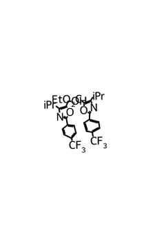 CC(C)c1nc(-c2ccc(C(F)(F)F)cc2)oc1CO.CCOC(=O)c1oc(-c2ccc(C(F)(F)F)cc2)nc1C(C)C